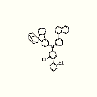 CCc1ccccc1-c1ccc(N(c2cccc(-c3cccc4ccccc34)c2)c2ccc3c(c2)-c2ccccc2C32C3CC4CC(C3)CC2C4)cc1CC